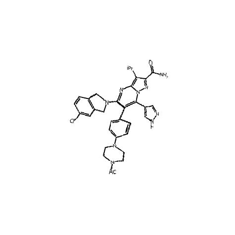 CC(=O)N1CCN(c2ccc(-c3c(N4Cc5ccc(Cl)cc5C4)nc4c(C(C)C)c(C(N)=O)nn4c3-c3cn[nH]c3)cc2)CC1